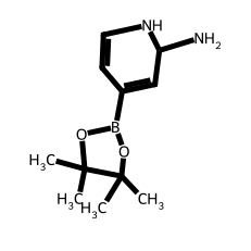 CC1(C)OB(C2=CC(N)NC=C2)OC1(C)C